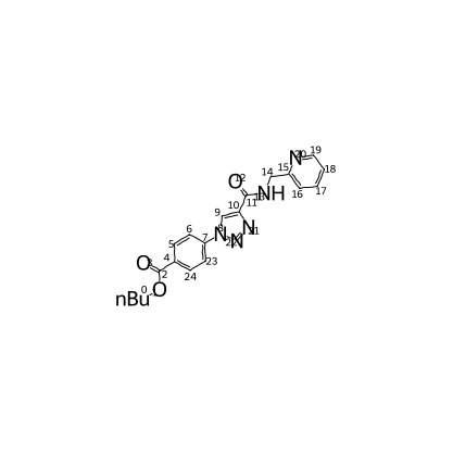 CCCCOC(=O)c1ccc(-n2cc(C(=O)NCc3ccccn3)nn2)cc1